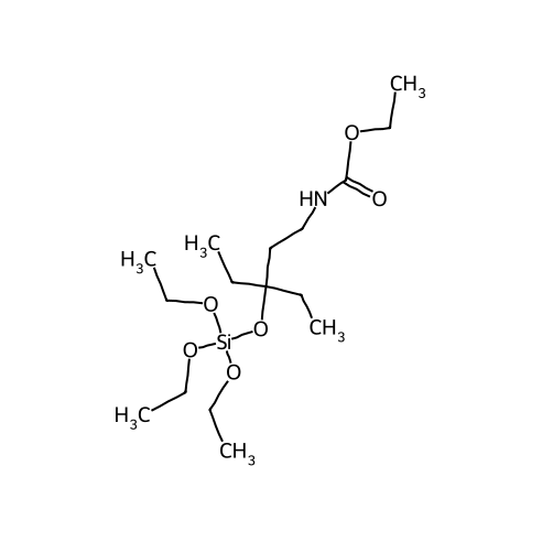 CCOC(=O)NCCC(CC)(CC)O[Si](OCC)(OCC)OCC